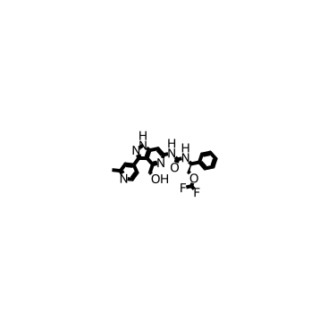 Cc1cc(-c2n[nH]c3cc(NC(=O)N[C@H](COC(F)F)c4ccccc4)nc(CO)c23)ccn1